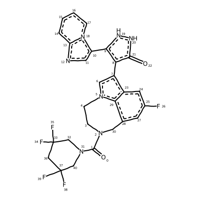 O=C(N1CCn2cc(-c3c(-c4cnc5ccccn45)[nH][nH]c3=O)c3cc(F)cc(c32)C1)N1CC(F)(F)CC(F)(F)C1